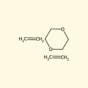 C1COCCO1.C=C.C=C